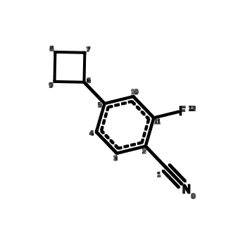 N#Cc1ccc(C2CCC2)cc1F